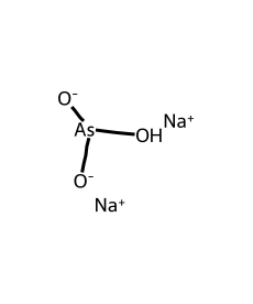 [Na+].[Na+].[O-][As]([O-])O